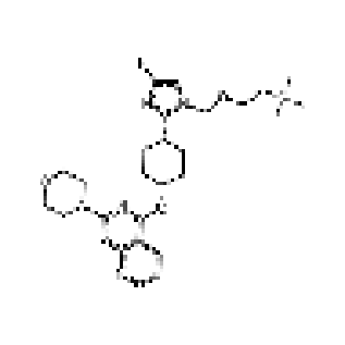 C[Si](C)(C)CCOCn1cc(F)nc1[C@H]1CC[C@@H](Oc2nc(N3CCOCC3)cc3ncccc23)CC1